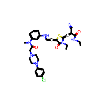 CCNC(=O)C(=C=c1sc(=C=CNc2cccc(N(C)C(=O)CN3CCN(c4ccc(Cl)cc4)CC3)c2)c(=O)n1CC)C#N